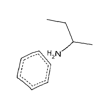 CCC(C)N.c1ccccc1